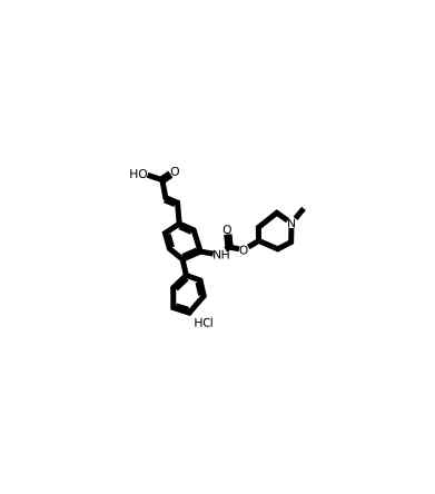 CN1CCC(OC(=O)Nc2cc(/C=C/C(=O)O)ccc2-c2ccccc2)CC1.Cl